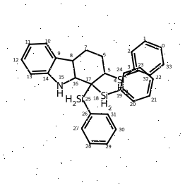 c1ccc([SiH2]C2CCC3c4ccccc4NC3C2([SiH2]c2ccccc2)[SiH2]c2ccccc2)cc1